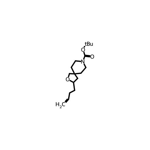 C=CCCC1CC2(CCN(C(=O)OC(C)(C)C)CC2)CO1